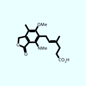 CNc1c(C/C=C(\C)CCC(=O)O)c(OC)c(C)c2c1C(=O)OC2